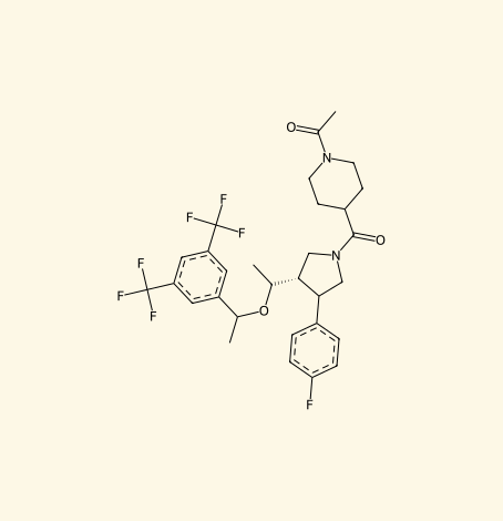 CC(=O)N1CCC(C(=O)N2CC(c3ccc(F)cc3)[C@H](C(C)OC(C)c3cc(C(F)(F)F)cc(C(F)(F)F)c3)C2)CC1